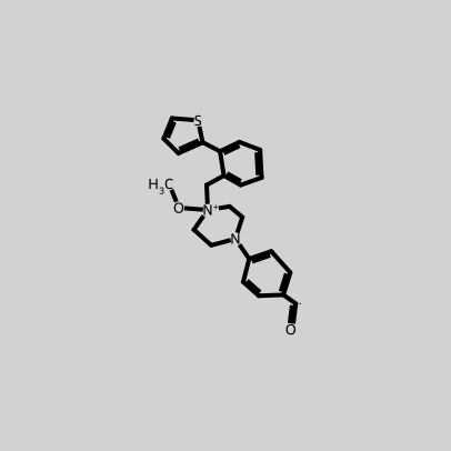 CO[N+]1(Cc2ccccc2-c2cccs2)CCN(c2ccc([C]=O)cc2)CC1